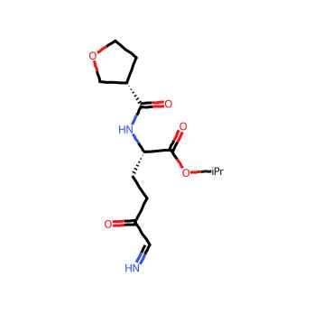 CC(C)OC(=O)[C@H](CCC(=O)C=N)NC(=O)[C@H]1CCOC1